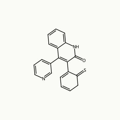 O=c1[nH]c2ccccc2c(-c2cccnc2)c1C1=CC=CCC1=S